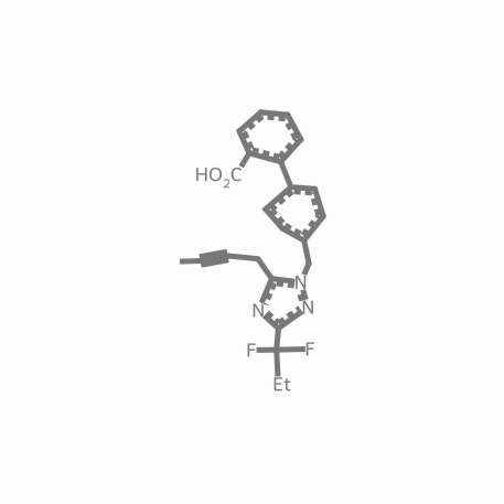 CC#CCc1nc(C(F)(F)CC)nn1Cc1ccc(-c2ccccc2C(=O)O)cc1